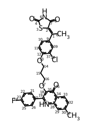 CC(=C1SC(=O)NC1=O)c1ccc(OCCCOc2c(-c3ccc(F)cc3)[nH]c3cc(C)ccc3c2=O)c(Cl)c1